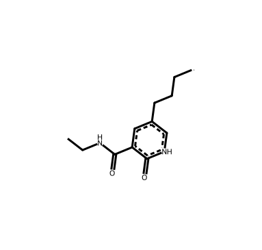 [CH2]CCCc1c[nH]c(=O)c(C(=O)NCC)c1